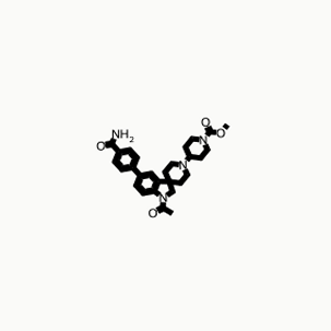 COC(=O)N1CCC(N2CCC3(CC2)CN(C(C)=O)c2ccc(-c4ccc(C(N)=O)cc4)cc23)CC1